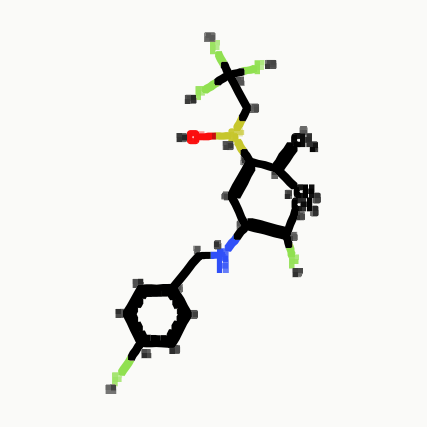 C=C(C)/C(=C\C(NCc1ccc(F)cc1)=C(/C)F)[S+]([O-])CC(F)(F)F